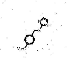 COc1ccc(CSc2ncc[nH]2)cc1